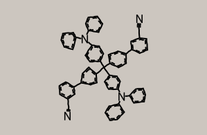 N#Cc1cccc(-c2ccc(C(c3ccc(-c4cccc(C#N)c4)cc3)(c3ccc(N(c4ccccc4)c4ccccc4)cc3)c3ccc(N(c4ccccc4)c4ccccc4)cc3)cc2)c1